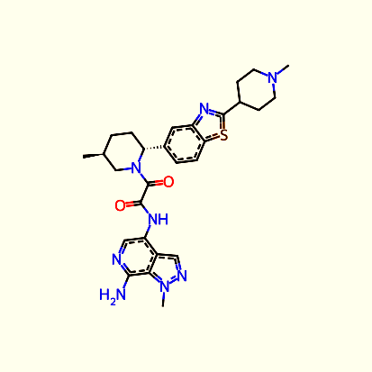 C[C@H]1CC[C@H](c2ccc3sc(C4CCN(C)CC4)nc3c2)N(C(=O)C(=O)Nc2cnc(N)c3c2cnn3C)C1